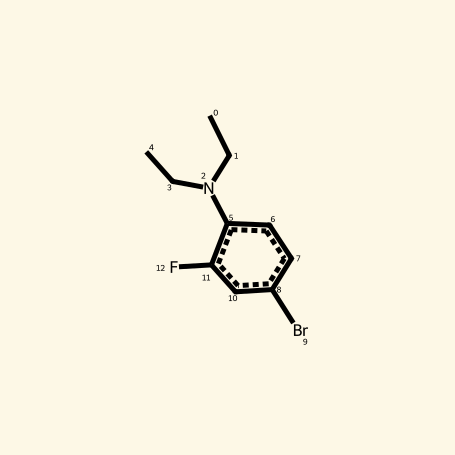 CCN(CC)c1ccc(Br)cc1F